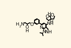 CC(C)N1NCc2c(N[C@@H]3CO[C@H]4OCC[C@H]43)cc(-c3cccc(OCC(O)CN)c3)nc21